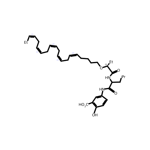 CC/C=C\C/C=C\C/C=C\C/C=C\C/C=C\CCCCO[C@@H](CC)C(=O)NC(CC(C)C)C(=O)Nc1ccc(O)c(C(=O)O)c1